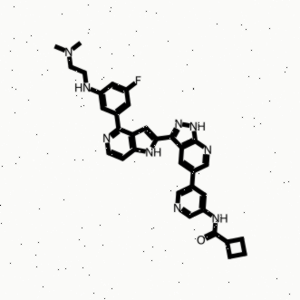 CN(C)CCNc1cc(F)cc(-c2nccc3[nH]c(-c4n[nH]c5ncc(-c6cncc(NC(=O)C7CCC7)c6)cc45)cc23)c1